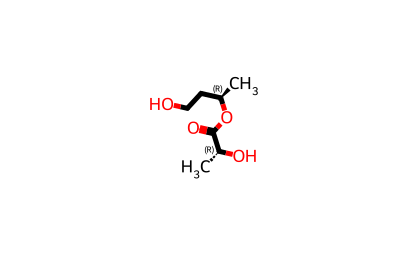 C[C@H](CCO)OC(=O)[C@@H](C)O